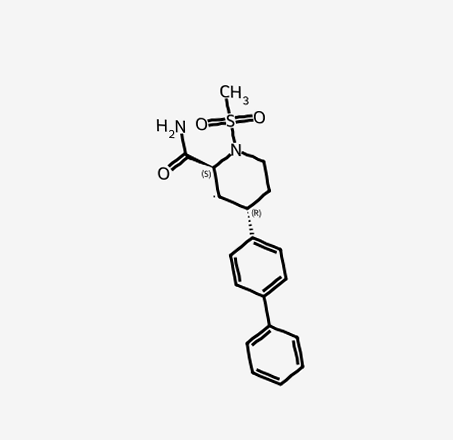 CS(=O)(=O)N1CC[C@H](c2ccc(-c3ccccc3)cc2)[CH][C@H]1C(N)=O